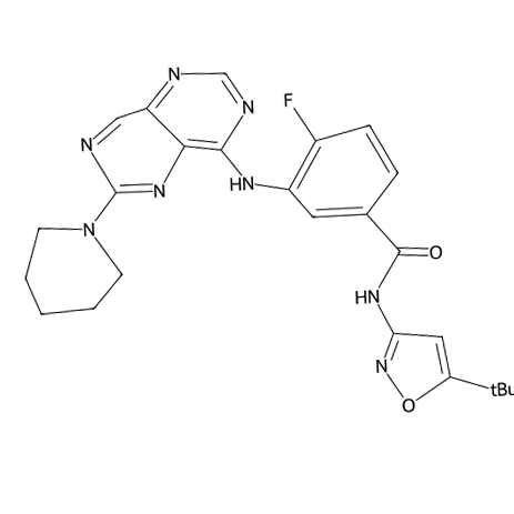 CC(C)(C)c1cc(NC(=O)c2ccc(F)c(Nc3ncnc4cnc(N5CCCCC5)nc34)c2)no1